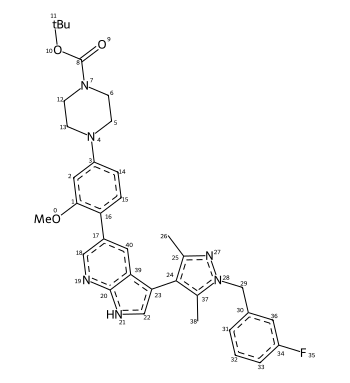 COc1cc(N2CCN(C(=O)OC(C)(C)C)CC2)ccc1-c1cnc2[nH]cc(-c3c(C)nn(Cc4cccc(F)c4)c3C)c2c1